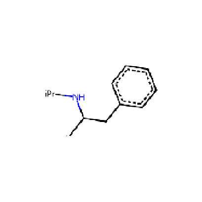 [CH2]C(Cc1ccccc1)NC(C)C